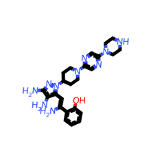 N/C(=C\c1c(N)c(N)nn1C1CCN(c2cnc(N3CCNCC3)cn2)CC1)c1ccccc1O